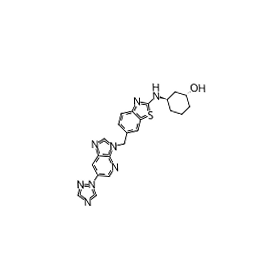 O[C@@H]1CCC[C@@H](Nc2nc3ccc(Cn4cnc5cc(-n6cncn6)cnc54)cc3s2)C1